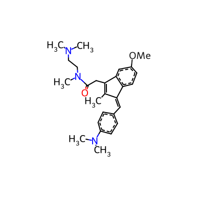 COc1ccc2c(c1)C(CC(=O)N(C)CCN(C)C)=C(C)C2=Cc1ccc(N(C)C)cc1